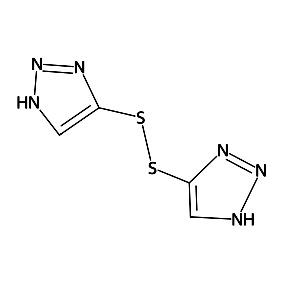 c1[nH]nnc1SSc1c[nH]nn1